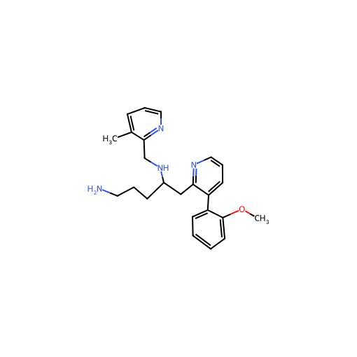 COc1ccccc1-c1cccnc1CC(CCCN)NCc1ncccc1C